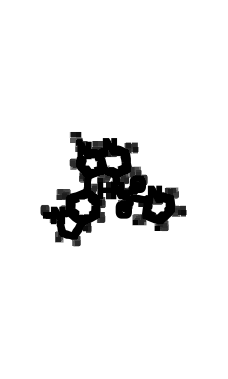 CN1CCc2ccc(-c3cn(C)c4nccc(NS(=O)(=O)c5ccccn5)c34)cc21